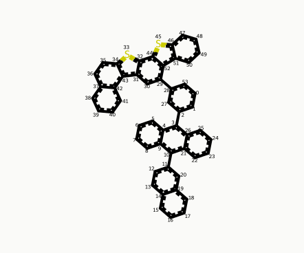 c1cc(-c2c3ccccc3c(-c3ccc4ccccc4c3)c3ccccc23)cc(-c2cc3c(sc4ccc5ccccc5c43)c3sc4ccccc4c23)c1